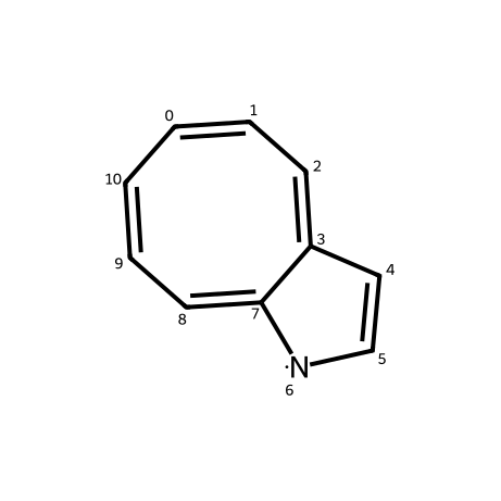 C1=CC=C2C=C[N]C2=CC=C1